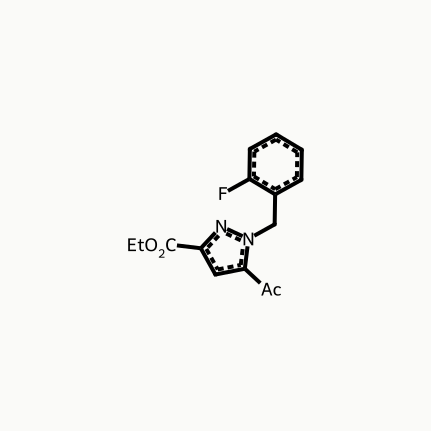 CCOC(=O)c1cc(C(C)=O)n(Cc2ccccc2F)n1